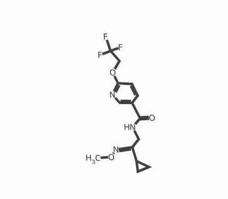 CON=C(CNC(=O)c1ccc(OCC(F)(F)F)nc1)C1CC1